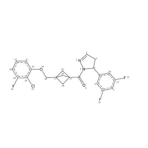 O=C(N1N=CCC1c1cc(F)cc(F)c1)C12CC(COc3cccc(F)c3Cl)(C1)C2